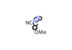 COc1ccc(C(C#N)N2CCN3CCCC3C2)c(C)c1